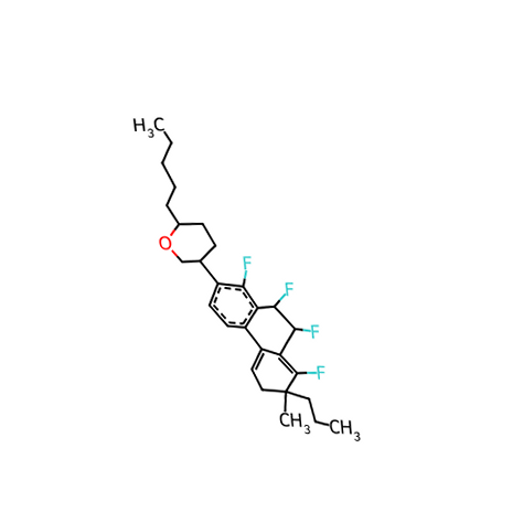 CCCCCC1CCC(c2ccc3c(c2F)C(F)C(F)C2=C(F)C(C)(CCC)CC=C23)CO1